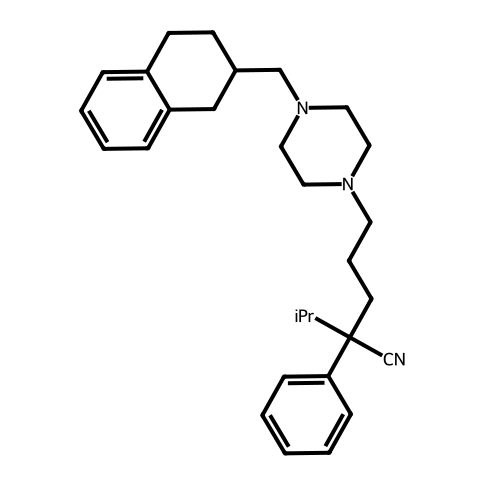 CC(C)C(C#N)(CCCN1CCN(CC2CCc3ccccc3C2)CC1)c1ccccc1